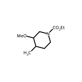 CCOC(=O)N1CCC(C)C(OC)C1